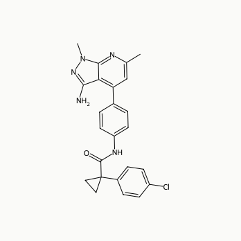 Cc1cc(-c2ccc(NC(=O)C3(c4ccc(Cl)cc4)CC3)cc2)c2c(N)nn(C)c2n1